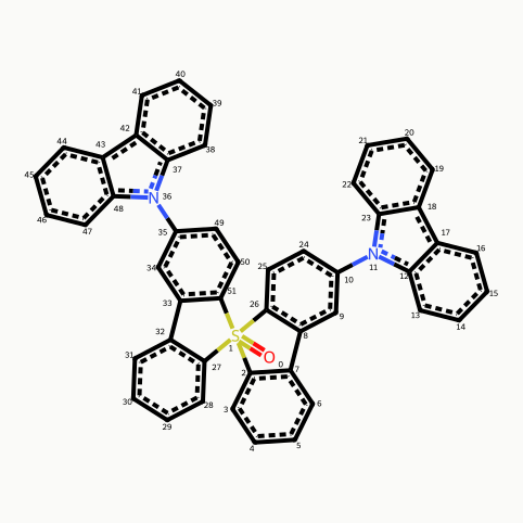 O=S12(c3ccccc3-c3cc(-n4c5ccccc5c5ccccc54)ccc31)c1ccccc1-c1cc(-n3c4ccccc4c4ccccc43)ccc12